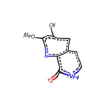 COc1nc2c(=O)[nH]ccc2cc1C#N